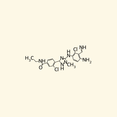 CCNC(=O)c1ccc(C2N=C(Nc3ccc(N)c(C=N)c3Cl)N(C)N2)c(Cl)c1